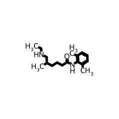 CCNCC(C)CCCC(=O)Nc1c(C)cccc1C